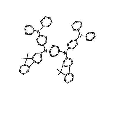 CC1(C)c2ccccc2-c2ccc(N(c3ccc(N(c4ccccc4)c4ccccc4)cc3)c3ccc(N(c4ccc(N(c5ccccc5)c5ccccc5)cc4)c4ccc5c(c4)C(C)(C)c4ccccc4-5)cc3)cc21